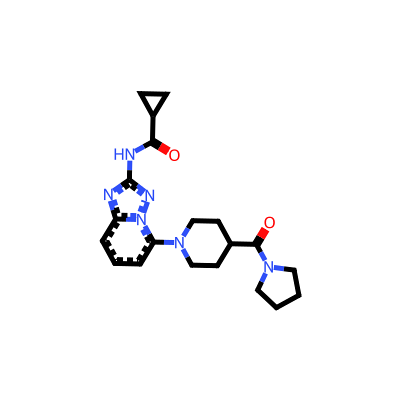 O=C(Nc1nc2cccc(N3CCC(C(=O)N4CCCC4)CC3)n2n1)C1CC1